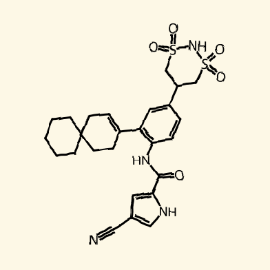 N#Cc1c[nH]c(C(=O)Nc2ccc(C3CS(=O)(=O)NS(=O)(=O)C3)cc2C2=CCC3(CCCCC3)CC2)c1